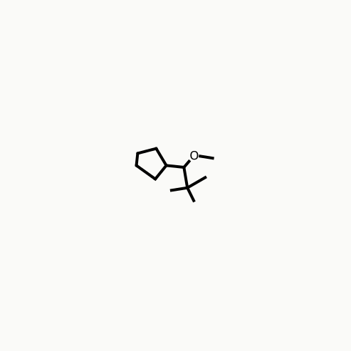 COC(C1CCCC1)C(C)(C)C